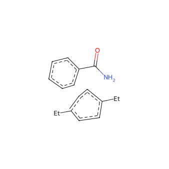 CCc1ccc(CC)cc1.NC(=O)c1ccccc1